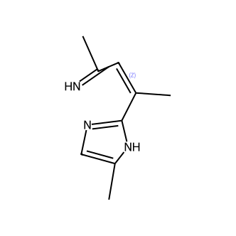 CC(=N)/C=C(/C)c1ncc(C)[nH]1